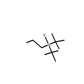 CCC[Si](F)(C(C)(C)C)C(C)(C)C